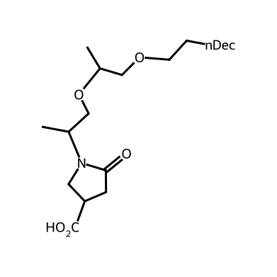 CCCCCCCCCCCCOCC(C)OCC(C)N1CC(C(=O)O)CC1=O